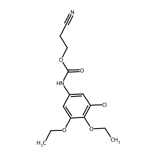 CCOc1cc(NC(=O)OCCC#N)cc(Cl)c1OCC